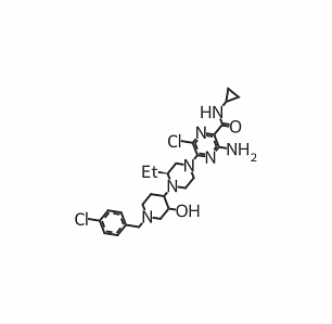 CC[C@H]1CN(c2nc(N)c(C(=O)NC3CC3)nc2Cl)CCN1C1CCN(Cc2ccc(Cl)cc2)CC1O